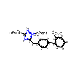 CCCCCc1nc(Cc2ccc(-c3ccccc3C(=O)O)cc2)n(CCCCC)n1